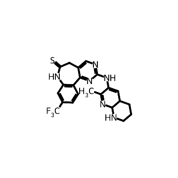 CC1=NC2NCCCC2C=C1Nc1ncc2c(n1)-c1ccc(C(F)(F)F)cc1NC(=S)C2